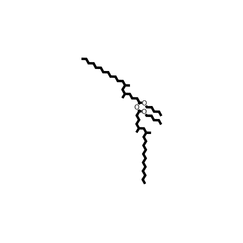 CCCCCCCCCCCCC(C)CC(C)CCCC(OCCCCC)OC(CCCC(C)CC(C)CCCCCCCCCCCC)OCCCCC